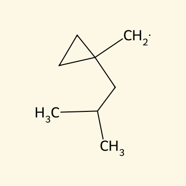 [CH2]C1(CC(C)C)CC1